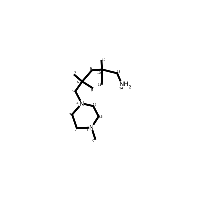 CN1CCN(CC(C)(C)CC(C)(C)CN)CC1